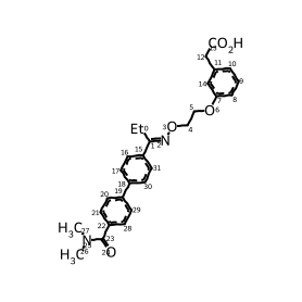 CC/C(=N\OCCOc1cccc(CC(=O)O)c1)c1ccc(-c2ccc(C(=O)N(C)C)cc2)cc1